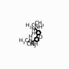 CC(C)NC(=N)c1ccc2oc3ccc(C(=N)NC(C)C)cc3c2c1